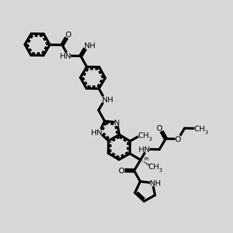 CCOC(=O)CN[C@@](C)(C(=O)C1C=CCN1)c1ccc2[nH]c(CNc3ccc(C(=N)NC(=O)c4ccccc4)cc3)nc2c1C